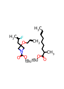 C=CCOC1(CC(=C)F)CN(C(=O)OC(C)(C)C)C1.CC=CCCCCC(C)C(=O)OC(C)(C)C